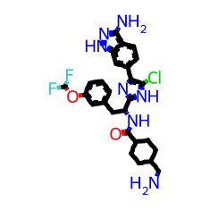 NCC1CCC(C(=O)NC(Cc2cccc(OC(F)F)c2)c2nc(-c3ccc4c(N)n[nH]c4c3)c(Cl)[nH]2)CC1